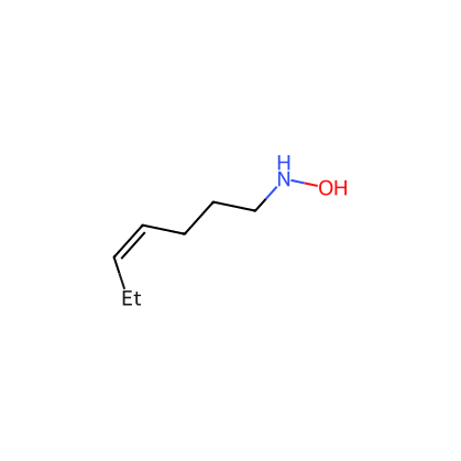 CC/C=C\CCCNO